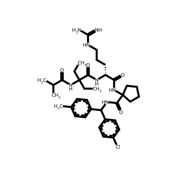 CCC(CC)(NC(=O)C(C)C)C(=O)N[C@H](CCCNC(=N)N)C(=O)NC1(C(=O)NC(c2ccc(C)cc2)c2ccc(Cl)cc2)CCCC1